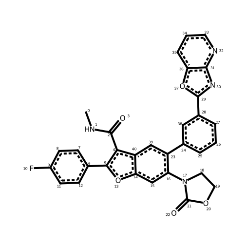 CNC(=O)c1c(-c2ccc(F)cc2)oc2cc(N3CCOC3=O)c(-c3cccc(-c4nc5ncccc5o4)c3)cc12